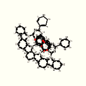 C1=CC(c2nc(-c3ccccc3)nc(-n3c4ccccc4c4ccc5c6ccc7c8ccc9c%10ccccc%10n(-c%10nc(-c%11ccccc%11)nc(-c%11ccccc%11)n%10)c9c8n(-c8ccccc8)c7c6n(-c6ccccc6)c5c43)n2)=CCC1